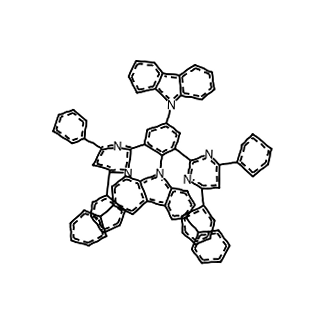 c1ccc(-c2ccc3c(c2)c2cc(-c4ccccc4)ccc2n3-c2c(-c3nc(-c4ccccc4)cc(-c4ccccc4)n3)cc(-n3c4ccccc4c4ccccc43)cc2-c2nc(-c3ccccc3)cc(-c3ccccc3)n2)cc1